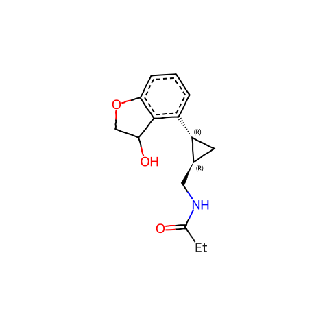 CCC(=O)NC[C@@H]1C[C@H]1c1cccc2c1C(O)CO2